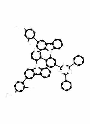 FC(F)(F)c1ccc(-c2ccc3c(c2)c2ccccc2n3-c2ccncc2-c2ccc(-c3nc(-c4ccccc4)nc(-c4ccccc4)n3)cc2-n2c3ccccc3c3cc(-c4ccc(C(F)(F)F)cc4C(F)(F)F)ccc32)c(C(F)(F)F)c1